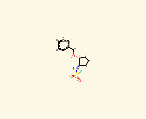 O=S(=O)(F)N[C@@H]1CCC[C@H]1OCc1ccccc1